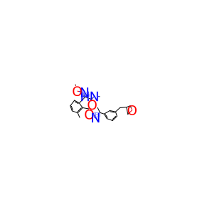 CNC(=O)/C(=N/OC)c1cccc(C)c1CO/N=C(\C)c1cccc(CC2COC2)c1